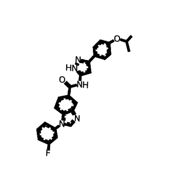 CC(C)Oc1ccc(-c2cc(NC(=O)c3ccc4c(c3)ncn4-c3cccc(F)c3)[nH]n2)cc1